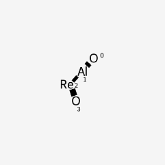 [O]=[Al][Re]=[O]